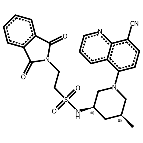 C[C@H]1C[C@@H](NS(=O)(=O)CCN2C(=O)c3ccccc3C2=O)CN(c2ccc(C#N)c3ncccc23)C1